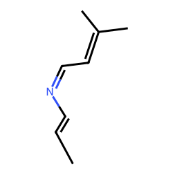 CC=C/N=C\C=C(C)C